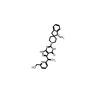 C=C(c1cccc(CO)n1)c1n[nH]c2nc(N3CCC4(CC3)Cc3ccccc3[C@H]4N)[nH]c(=O)c12